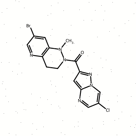 CN1c2cc(Br)cnc2CCN1C(=O)c1cc2ncc(Cl)cn2n1